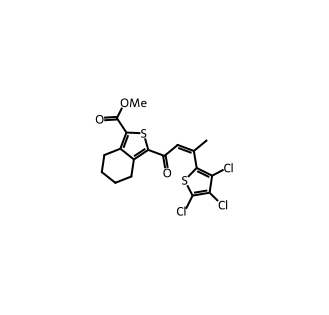 COC(=O)c1sc(C(=O)/C=C(/C)c2sc(Cl)c(Cl)c2Cl)c2c1CCCC2